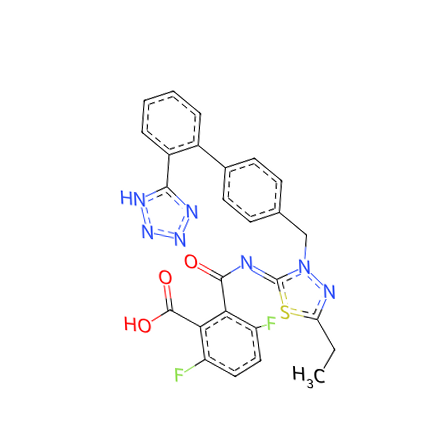 CCc1nn(Cc2ccc(-c3ccccc3-c3nnn[nH]3)cc2)c(=NC(=O)c2c(F)ccc(F)c2C(=O)O)s1